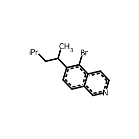 CC(C)CC(C)c1ccc2cnccc2c1Br